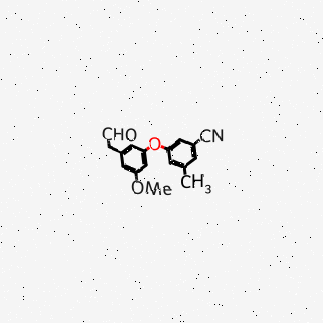 COc1cc(CC=O)cc(Oc2cc(C)cc(C#N)c2)c1